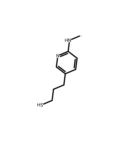 [CH]Nc1ccc(CCCS)cn1